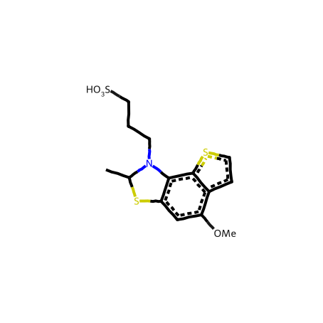 COc1cc2c(c3sccc13)N(CCCS(=O)(=O)O)C(C)S2